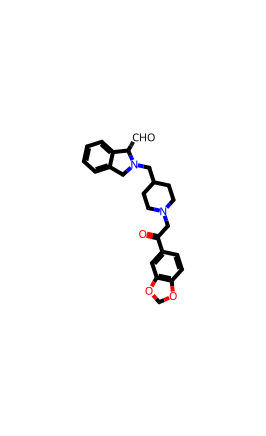 O=CC1c2ccccc2CN1CC1CCN(CC(=O)c2ccc3c(c2)OCO3)CC1